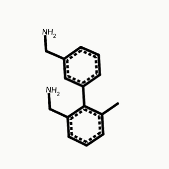 Cc1cccc(CN)c1-c1cccc(CN)c1